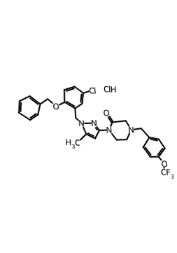 Cc1cc(N2CCN(Cc3ccc(OC(F)(F)F)cc3)CC2=O)nn1Cc1cc(Cl)ccc1OCc1ccccc1.Cl